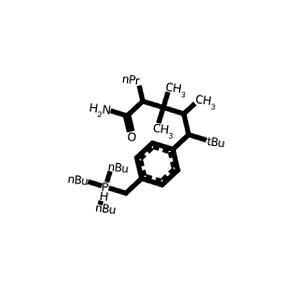 CCCC[PH](CCCC)(CCCC)Cc1ccc(C(C(C)C(C)(C)C(CCC)C(N)=O)C(C)(C)C)cc1